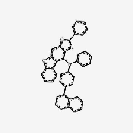 c1ccc(-c2nc3c(N(c4ccccc4)c4ccc(-c5cccc6ccccc56)cc4)c4c(cc3o2)oc2ccccc24)cc1